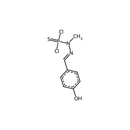 CN(N=Cc1ccc(O)cc1)P(=S)(Cl)Cl